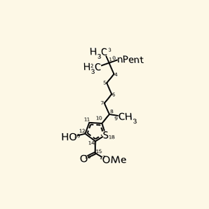 CCCCCC(C)(C)CCCCC(C)c1cc(O)c(C(=O)OC)s1